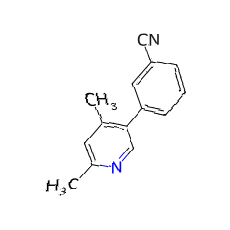 Cc1cc(C)c(-c2cccc(C#N)c2)cn1